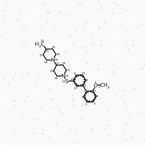 COc1ccccc1-c1cccc(SN2CCC(N3CCC(C)CC3)CC2)c1